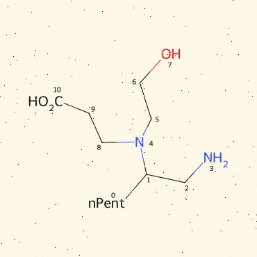 CCCCCC(CN)N(CCO)CCC(=O)O